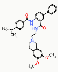 COc1cc2c(cc1OC)CN(CCNC(=O)c1cc(-c3ccccc3)ccc1NC(=O)c1ccc(C(C)C)cc1)CC2